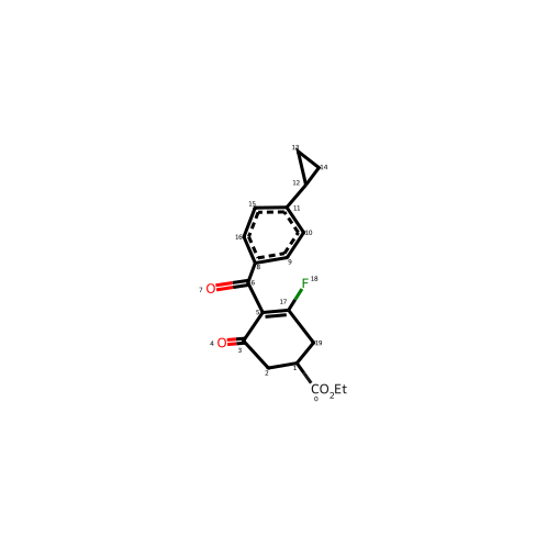 CCOC(=O)C1CC(=O)C(C(=O)c2ccc(C3CC3)cc2)=C(F)C1